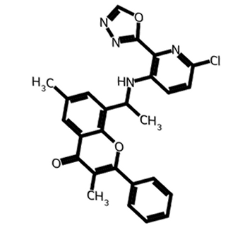 Cc1cc(C(C)Nc2ccc(Cl)nc2-c2nnco2)c2oc(-c3ccccc3)c(C)c(=O)c2c1